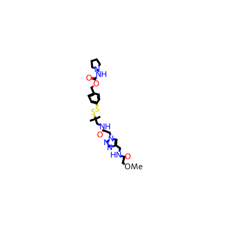 COCC(=O)NCc1cn(CC(=O)NCC(C)(C)SSc2ccc(COC(=O)NN3CCCC3)cc2)nn1